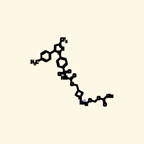 Cc1ccc(-c2cc(C(F)(F)F)nn2-c2ccc(S(=O)(=O)NC(=O)OCC3CN(/N=N\OCOC(=O)C(C)(C)C)C3)cc2)cc1